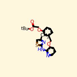 Cc1csc(Nc2ncccc2OCc2cccc(OCC(=O)OC(C)(C)C)c2)n1